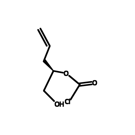 C=CC[C@H](CO)OC(=O)Cl